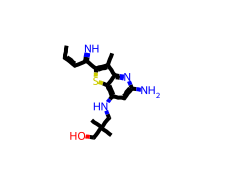 C/C=C\C(=N)c1sc2c(NCC(C)(C)CO)cc(N)nc2c1C